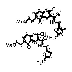 COCCn1ccc2nc(C)c(C(=O)NCc3ccc(C)o3)cc2c1=O.COCCn1ccc2nc(C)c(C(=O)NCc3ccc(C)o3)cc2c1=O